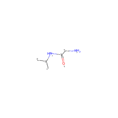 CC(C)NC(=O)[CH]N